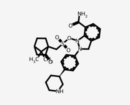 CC1(C)C2CCC1(CS(=O)(=O)ON1c3c(cccc3C(N)=O)CN1c1ccc([C@@H]3CCCNC3)cc1)C(=O)C2